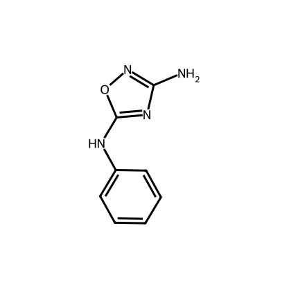 Nc1noc(Nc2ccccc2)n1